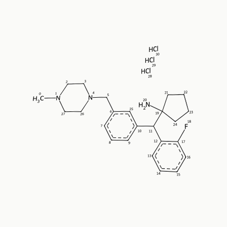 CN1CCN(Cc2cccc(C(c3ccccc3F)C3(N)CCCC3)c2)CC1.Cl.Cl.Cl